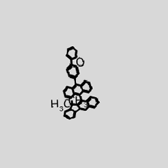 CC1(C)c2ccccc2-c2cc3ccccc3c(-c3c4ccccc4c(-c4ccc5c(c4)oc4ccccc45)c4ccccc34)c21